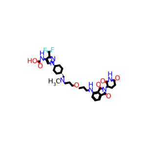 CN(CCCOCCCNc1cccc2c1C(=O)N(C1CCC(=O)NC1=O)C2=O)C[C@H]1CC[C@H](n2cc(NC(=O)O)c(C(F)F)n2)CC1